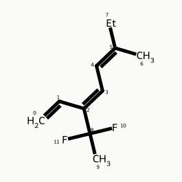 C=C/C(=C\C=C(/C)CC)C(C)(F)F